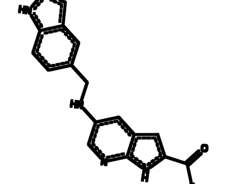 COC(=O)c1cc2cc(NCc3ccc4[nH]ccc4c3)cnc2[nH]1